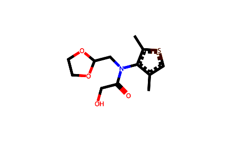 Cc1csc(C)c1N(CC1OCCO1)C(=O)CO